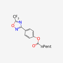 CCCCCC(=O)Oc1ccc(-c2noc(C(F)(F)F)n2)cc1